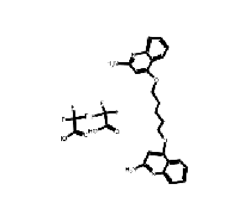 Nc1cc(OCCCCCOc2cc(N)nc3ccccc23)c2ccccc2n1.O=C(O)C(F)(F)F.O=C(O)C(F)(F)F